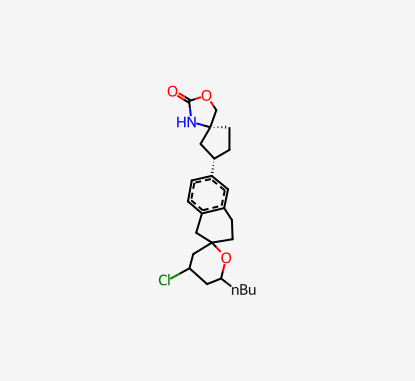 CCCCC1CC(Cl)CC2(CCc3cc([C@H]4CC[C@]5(COC(=O)N5)C4)ccc3C2)O1